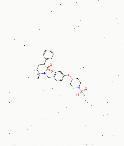 C[C@H]1CCC(c2ccccc2)S(=O)(=O)N1Cc1ccc(OC2CCN(S(C)(=O)=O)CC2)cc1